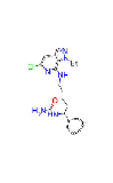 CCn1ncc2cc(Cl)nc(NCCCCC(NC(N)=O)c3ccccc3)c21